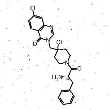 N[C@@H](Cc1ccccc1)C(=O)N1CCC(O)(Cn2cnc3cc(Cl)ccc3c2=O)CC1